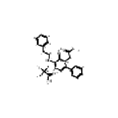 NC(=O)Cn1c(-c2ccccc2)cnc(NCCc2ccccc2)c1=O.O=C(O)C(F)(F)F